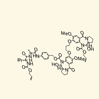 C=CCOC(=O)N[C@H](C(=O)N[C@@H](C)C(=O)Nc1ccc(COC(=O)N2c3cc(OCCCOc4cc5c(cc4OC)C(=O)N4CCC[C@H]4[C@H](O)N5C(=O)OCC=C)c(OC)cc3C(=O)N3CCC[C@H]3[C@@H]2O)cc1)C(C)C